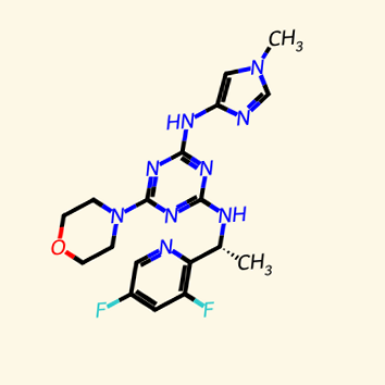 C[C@@H](Nc1nc(Nc2cn(C)cn2)nc(N2CCOCC2)n1)c1ncc(F)cc1F